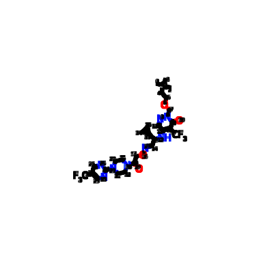 C[Si](C)(C)CCOCn1ncc(NC(C=NOCC(=O)N2CCN(c3ncc(C(F)(F)F)cn3)CC2)C2CC2)c(C(F)(F)F)c1=O